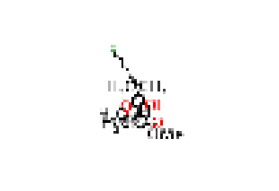 COC(=O)C1=CC[C@@H]2[C@@H](C1)c1c(O)cc(C(C)(C)CCCCCCF)cc1OC2(C)C